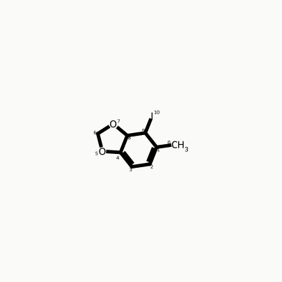 CC1=CC=C2OCOC2C1I